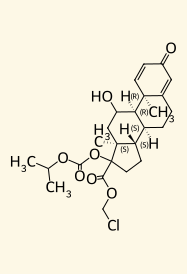 CC(C)OC(=O)OC1(C(=O)OCCl)CC[C@H]2[C@@H]3CCC4=CC(=O)C=C[C@]4(C)[C@@H]3C(O)C[C@@]21C